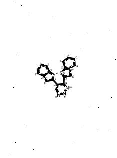 c1ccc2sc(-c3cnnnc3-c3cc4ccccc4s3)cc2c1